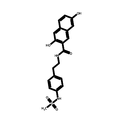 CS(=O)(=O)Nc1ccc(CCNC(=O)c2cc3cc(O)ccc3cc2O)cc1